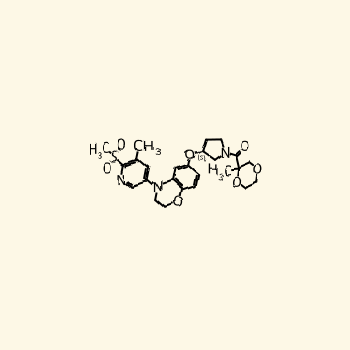 Cc1cc(N2CCOc3ccc(O[C@H]4CCN(C(=O)C5(C)COCCO5)C4)cc32)cnc1S(C)(=O)=O